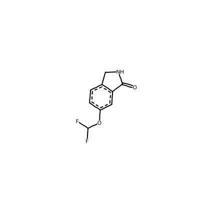 O=C1NCc2ccc(OC(F)F)cc21